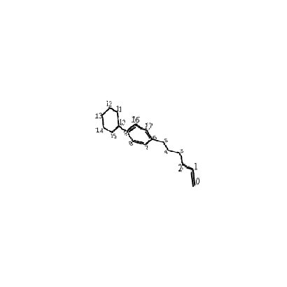 C=C[CH]CCCc1ccc(C2CCCCC2)cc1